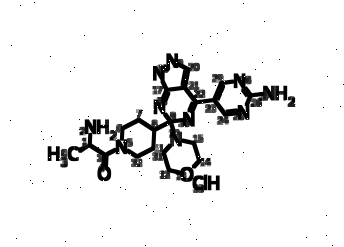 C[C@@H](N)C(=O)N1CCC(C2(N3CCOCC3)N=C3N=NC=C3C(c3cnc(N)nc3)=N2)CC1.Cl